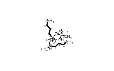 C[SiH](CCCN)O[Si](C)(CCCN)O[Si](C)(C)C